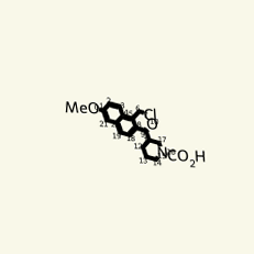 COc1ccc2c(CCl)c(C(=O)C3CCCN(C(=O)O)C3)ccc2c1